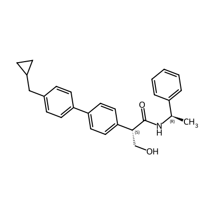 C[C@@H](NC(=O)[C@H](CO)c1ccc(-c2ccc(CC3CC3)cc2)cc1)c1ccccc1